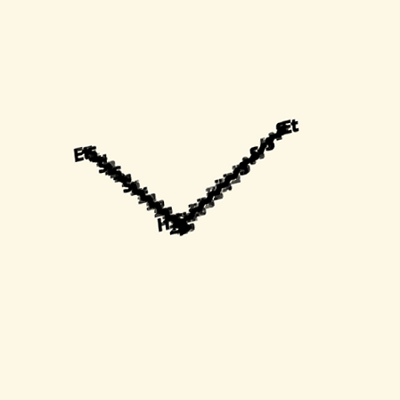 CCSCCSCCSCCSCCCCCCCCCCCC[SiH2][Si]1(CCCCCCCCCCCCSCCSCCSCCSCC)CC1